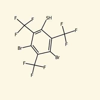 FC(F)(F)c1c(S)c(C(F)(F)F)c(Br)c(C(F)(F)F)c1Br